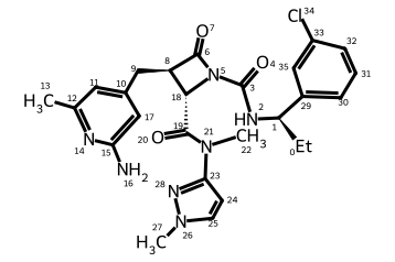 CC[C@@H](NC(=O)N1C(=O)[C@H](Cc2cc(C)nc(N)c2)[C@H]1C(=O)N(C)c1ccn(C)n1)c1cccc(Cl)c1